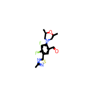 Cc1nsc(-c2cc(C=O)c(N3CC(C)OC(C)C3)c(F)c2F)n1